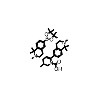 CC1CC=C(c2ccc3c(c2)CCN(C)C3(C)C)N(C(=O)O)C1.CN1CCc2cc(B3OC(C)(C)C(C)(C)O3)ccc2C1(C)C